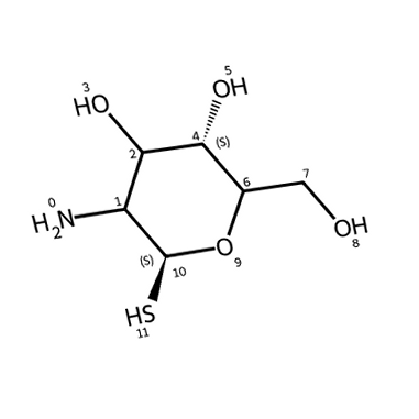 NC1C(O)[C@H](O)C(CO)O[C@H]1S